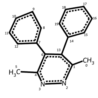 Cc1nnc(C)c(-c2ccccc2)c1-c1ccccc1